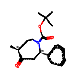 C[C@H]1CN(C(=O)OC(C)(C)C)[C@H](c2ccccc2)CC1=O